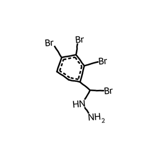 NNC(Br)c1ccc(Br)c(Br)c1Br